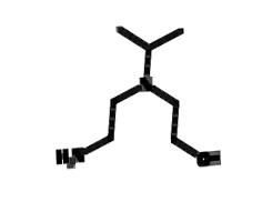 CC(C)N(CCN)CCO